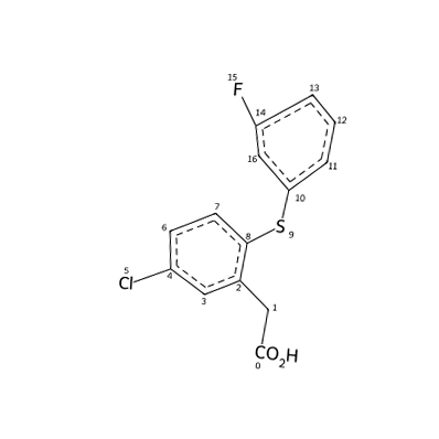 O=C(O)Cc1cc(Cl)ccc1Sc1cccc(F)c1